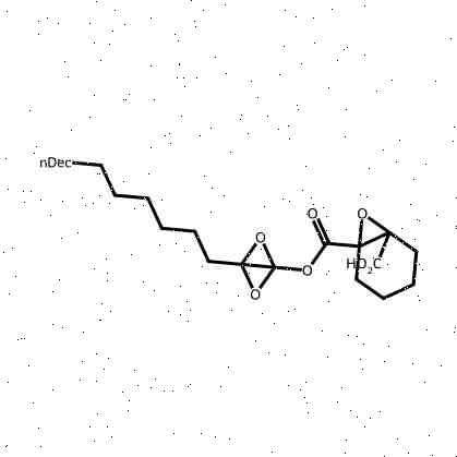 CCCCCCCCCCCCCCCCC12OC1(OC(=O)C13CCCCC1(C(=O)O)O3)O2